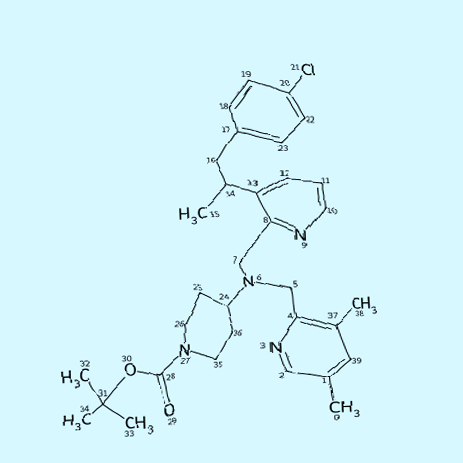 Cc1cnc(CN(Cc2ncccc2C(C)Cc2ccc(Cl)cc2)C2CCN(C(=O)OC(C)(C)C)CC2)c(C)c1